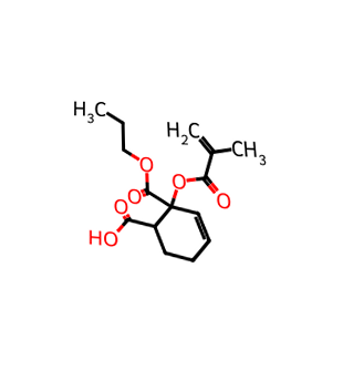 C=C(C)C(=O)OC1(C(=O)OCCC)C=CCCC1C(=O)O